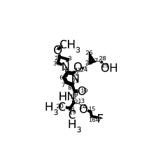 COC1CN(c2ccc(C(=O)N[C@H](COCCF)C(C)C)nc2OC[C@@H]2C[C@@H]2CO)C1